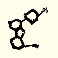 Cc1ccc(-c2cccc3c2sc2c(C#N)cccc23)nc1